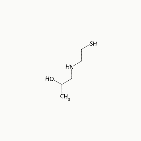 CC(O)CNCCS